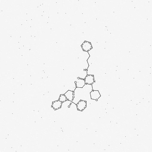 O=C(Cn1c(N2CCOCC2)ncc(NCCCc2ccccc2)c1=O)NCc1cc2cnccc2n1S(=O)(=O)c1ccccc1